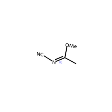 CO/C(C)=N\C#N